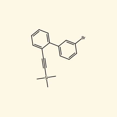 C[Si](C)(C)C#Cc1ccccc1-c1cccc(Br)c1